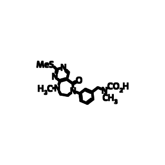 CSc1ncc2c(n1)N(C)CCN(c1cccc(CN(C)C(=O)O)c1)C2=O